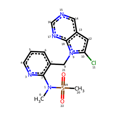 CN(c1ncccc1Cn1c(Cl)cc2cncnc21)S(C)(=O)=O